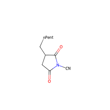 CCCCCCC1CC(=O)N(C#N)C1=O